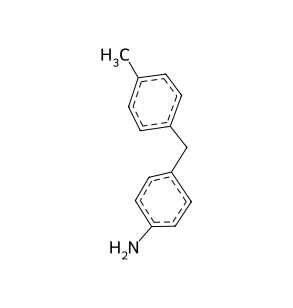 Cc1ccc(Cc2ccc(N)cc2)cc1